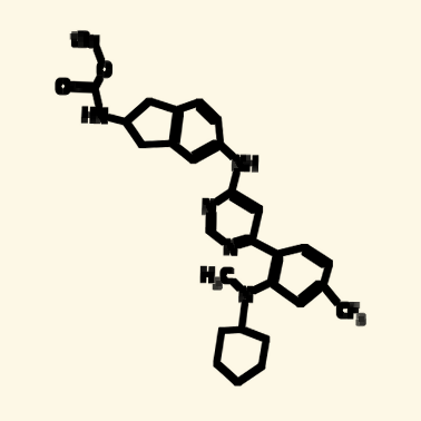 CN(c1cc(C(F)(F)F)ccc1-c1cc(Nc2ccc3c(c2)CC(NC(=O)OC(C)(C)C)C3)ncn1)C1CCCCC1